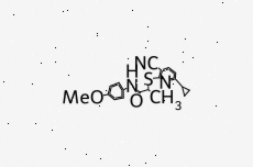 COc1ccc(NC(=O)C(C)Sc2nc(C3CC3)ccc2C#N)cc1